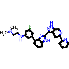 CN(C)CCNc1cc(F)cc(-c2cccc3[nH]c(-c4n[nH]c5cnc(-c6ccccn6)cc45)nc23)c1